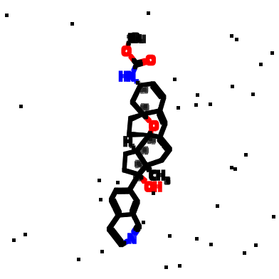 CC(C)(C)OC(=O)N[C@@H]1C=CC2=CC3=CC[C@@]4(C)[C@@H](CC[C@@]4(O)c4ccc5ccncc5c4)[C@@]34CC[C@]2(C1)O4